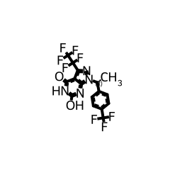 C[C@H](c1ccc(C(F)(F)F)cc1)n1nc(C(F)(F)C(F)(F)F)c2c(=O)[nH]c(O)nc21